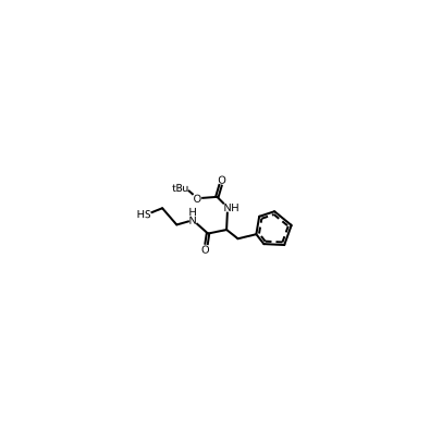 CC(C)(C)OC(=O)NC(Cc1ccccc1)C(=O)NCCS